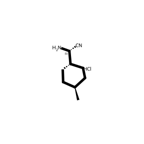 C[C@H]1CC[C@H]([C@H](N)C#N)CC1.Cl